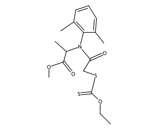 CCOC(=S)SCC(=O)N(c1c(C)cccc1C)C(C)C(=O)OC